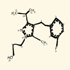 Cc1c(Cc2cccc(F)c2)c(C(C)C)nn1CCO